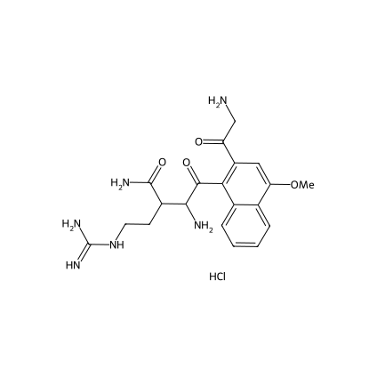 COc1cc(C(=O)CN)c(C(=O)C(N)C(CCNC(=N)N)C(N)=O)c2ccccc12.Cl